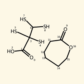 O=C(O)C(S)(S)C(S)S.O=C1CCCCCO1